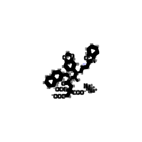 C[C@H]([C@H](C/C=C/c1nc2ccccc2o1)c1ccc2c(c1)OCO2)N(Cc1ccc2ccccc2c1)C(=O)CC(CC(=O)[O-])(C(=O)[O-])C(=O)[O-].[Na+].[Na+].[Na+]